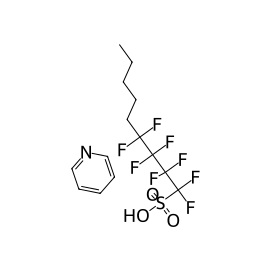 CCCCCC(F)(F)C(F)(F)C(F)(F)C(F)(F)S(=O)(=O)O.c1ccncc1